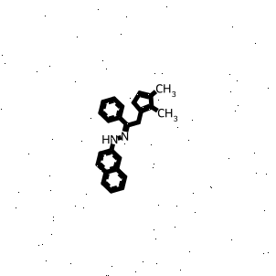 CC1=CCC(CC(=NNc2ccc3ccccc3c2)c2ccccc2)=C1C